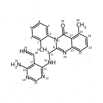 Cc1ccccc1-n1c(CNc2ncnc(N)c2C=N)nc2cccc(C)c2c1=O